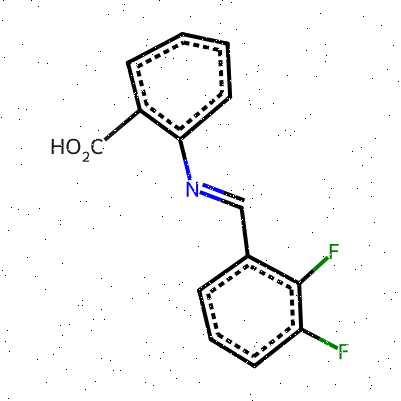 O=C(O)c1ccccc1/N=C/c1cccc(F)c1F